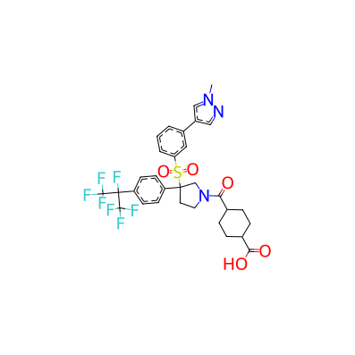 Cn1cc(-c2cccc(S(=O)(=O)C3(c4ccc(C(F)(C(F)(F)F)C(F)(F)F)cc4)CCN(C(=O)C4CCC(C(=O)O)CC4)C3)c2)cn1